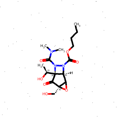 CCCCOC(=O)N1[C@H]2C3O[C@@]3(CO)C(=O)[C@@]2([C@H](C)O)N1C(=O)N(C)C